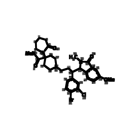 CNC(=O)C1(N2CCCCC2=O)CCN(CCC(c2ccc(Br)c(Cl)c2)C2c3ccc(OC)cc3C(=O)N2C)CC1